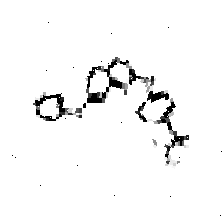 CC(C)NC(=O)c1ccc(Nc2ncc3ccc(Oc4ccccc4)cc3n2)cc1